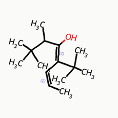 C/C=C\C(=C(\O)C(C)C(C)(C)C)C(C)(C)C